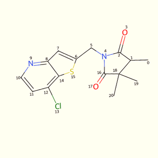 CC1C(=O)N(Cc2cc3nccc(Cl)c3s2)C(=O)C1(C)C